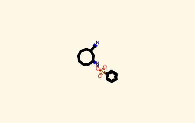 N#CC1CCCCCCC(=NOS(=O)(=O)c2ccccc2)C1